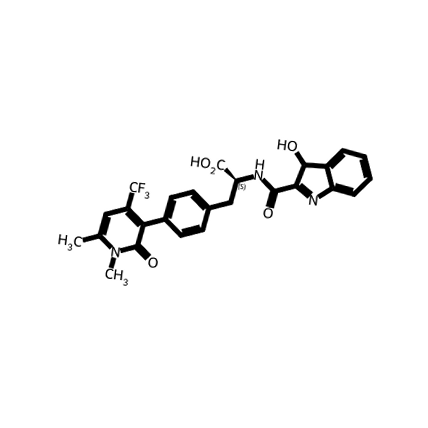 Cc1cc(C(F)(F)F)c(-c2ccc(C[C@H](NC(=O)C3=Nc4ccccc4C3O)C(=O)O)cc2)c(=O)n1C